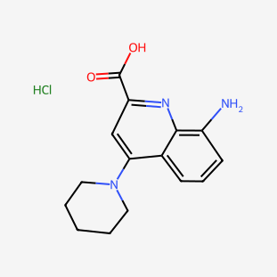 Cl.Nc1cccc2c(N3CCCCC3)cc(C(=O)O)nc12